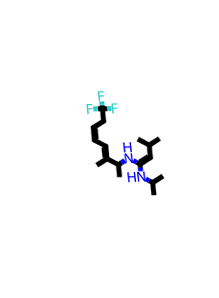 C/C(=C\C=C/CC(F)(F)F)C(C)N/C(=C\C(C)C)NC(C)C